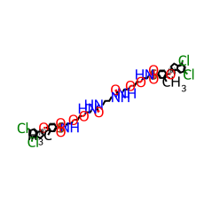 Cc1cc(S(=O)(=O)NCCOCCOCCNC(=O)NCCCCNC(=O)NCCOCCOCCNS(=O)(=O)c2ccc(O[C@@H]3CCc4c(Cl)cc(Cl)cc43)c(C)c2)ccc1O[C@@H]1CCc2c(Cl)cc(Cl)cc21